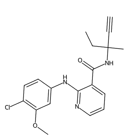 C#CC(C)(CC)NC(=O)c1cccnc1Nc1ccc(Cl)c(OC)c1